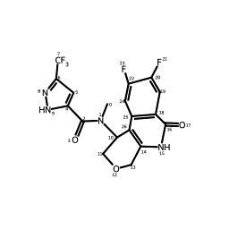 CN(C(=O)c1cc(C(F)(F)F)n[nH]1)C1COCc2[nH]c(=O)c3cc(F)c(F)cc3c21